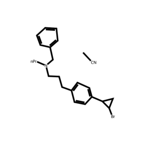 CC#N.CCCN(CCCc1ccc(C2CC2Br)cc1)Cc1ccccc1